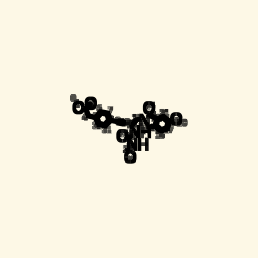 COC(=O)Cc1ccc(C#C[C@H](CN2Cc3ccc(OC)cc3C2=O)NC(=O)NC=O)cc1